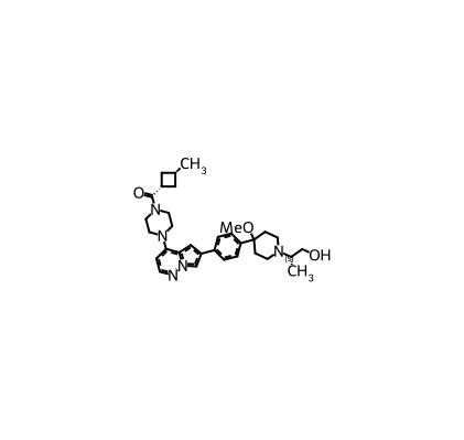 COC1(c2ccc(-c3cc4c(N5CCN(C(=O)[C@H]6C[C@H](C)C6)CC5)ccnn4c3)cc2)CCN([C@@H](C)CO)CC1